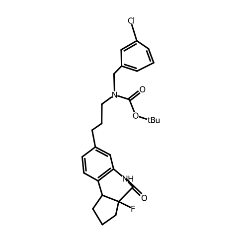 CC(C)(C)OC(=O)N(CCCc1ccc2c(c1)NC(=O)C1(F)CCCC21)Cc1cccc(Cl)c1